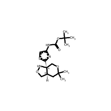 CC(C)(C)OC(=O)Nc1csc([C@]23COC(C)(C)C[C@H]2CON3)n1